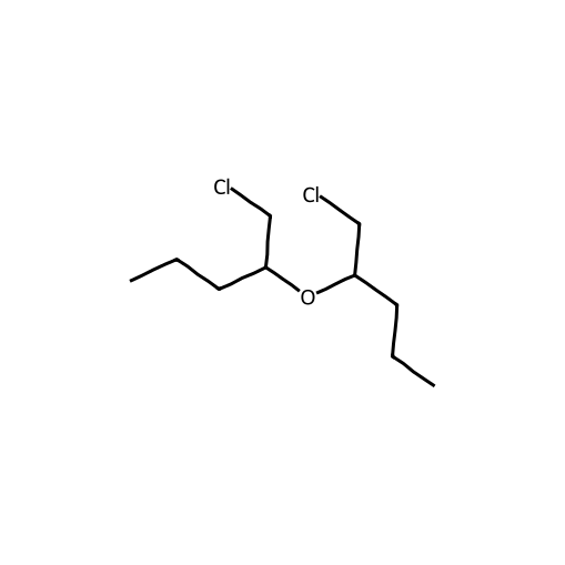 CCCC(CCl)OC(CCl)CCC